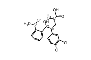 CN(C[C@@H](c1ccc(Cl)c(Cl)c1)[C@@H](O)c1ccccc1[S+](C)[O-])C(=O)O